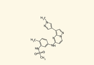 Cc1ccc(Nc2ccn3ncc(-c4cnn(C)c4)c3n2)cc1NS(C)(=O)=O